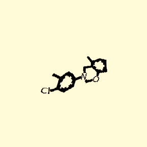 Cc1cc(N2COc3cccc(C)c3C2)ccc1Cl